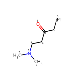 CC(C)CC(=O)CCN(C)C